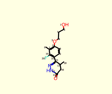 Cc1c(OCCCO)ccc(C2=NNC(=O)CC2C)c1F